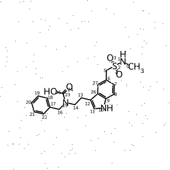 CNS(=O)(=O)Cc1ccc2[nH]cc(CCN(Cc3ccccc3)C(=O)O)c2c1